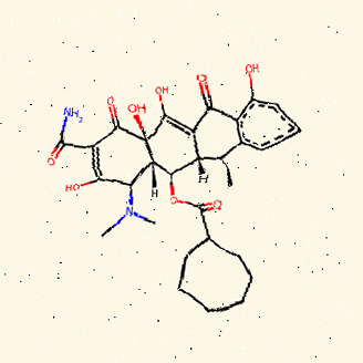 C[C@@H]1c2cccc(O)c2C(=O)C2=C(O)[C@@]3(O)C(=O)C(C(N)=O)=C(O)[C@H](N(C)C)[C@H]3[C@H](OC(=O)C3CCCCCC3)[C@H]21